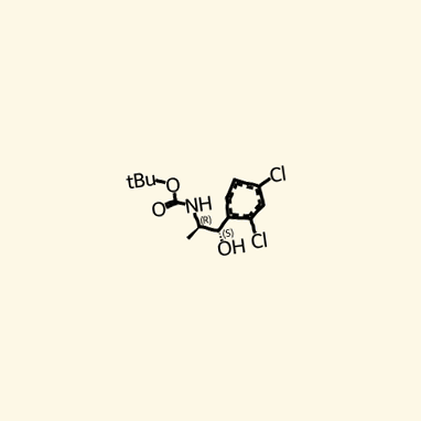 C[C@@H](NC(=O)OC(C)(C)C)[C@@H](O)c1ccc(Cl)cc1Cl